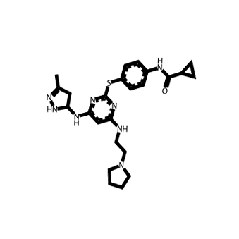 CC1=NNC(Nc2cc(NCCN3CCCC3)nc(Sc3ccc(NC(=O)C4CC4)cc3)n2)C1